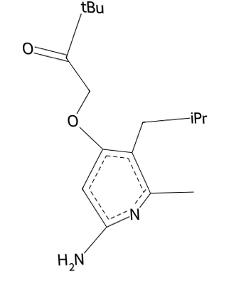 Cc1nc(N)cc(OCC(=O)C(C)(C)C)c1CC(C)C